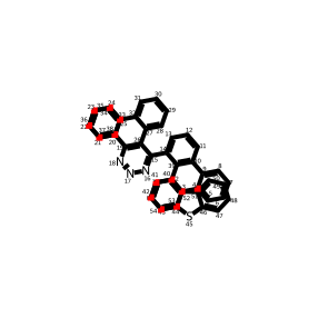 c1ccc(-c2ccccc2-c2cccc(-c3nnnc(-c4ccccc4)c3-c3ccccc3-c3ccccc3)c2-c2cccc3sc4ccccc4c23)cc1